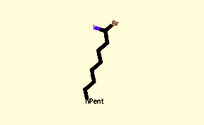 CCCCCCCCCCCC(Br)I